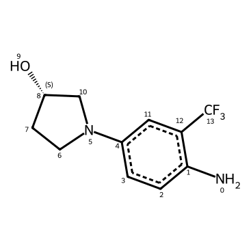 Nc1ccc(N2CC[C@H](O)C2)cc1C(F)(F)F